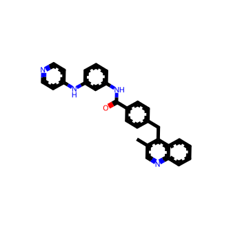 Cc1cnc2ccccc2c1Cc1ccc(C(=O)Nc2cccc(Nc3ccncc3)c2)cc1